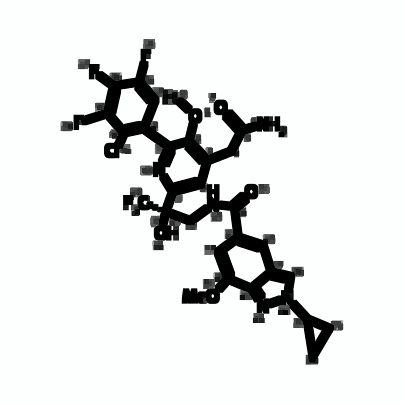 CCOc1c(CC(N)=O)cc([C@](O)(CNC(=O)c2cc(OC)c3nn(C4CC4)cc3c2)C(F)(F)F)nc1-c1cc(F)c(F)c(F)c1Cl